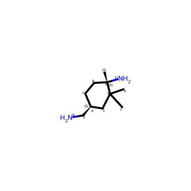 CC1(C)C[C@@H](CN)CC[C@]1(C)N